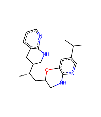 CC(C)c1cnc2c(c1)OC(C[C@H](C)C1CNc3ncccc3C1)CN2